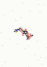 C=CC(=O)OCC1(CCC[C@@H]2C3C(=O)O[C@@H](CC(=O)O[C@@H](C)/C(C)=C/c4csc(C)n4)[C@]3(C)C(=O)[C@H](C)[C@H]2O)OC1C